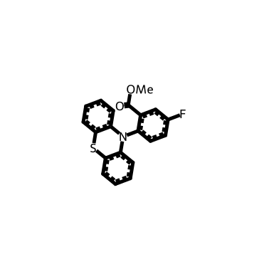 COC(=O)c1cc(F)ccc1N1c2ccccc2Sc2ccccc21